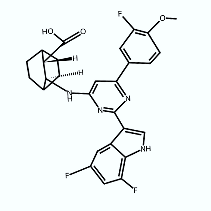 COc1ccc(-c2cc(N[C@H]3C4CCC(CC4)[C@@H]3C(=O)O)nc(-c3c[nH]c4c(F)cc(F)cc34)n2)cc1F